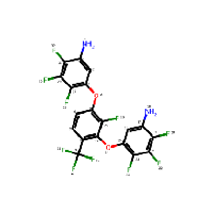 Nc1cc(Oc2ccc(C(F)(F)F)c(Oc3cc(N)c(F)c(F)c3F)c2F)c(F)c(F)c1F